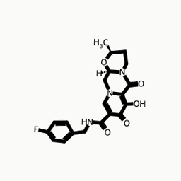 C[C@H]1CCN2C(=O)c3c(O)c(=O)c(C(=O)NCc4ccc(F)cc4)cn3C[C@H]2O1